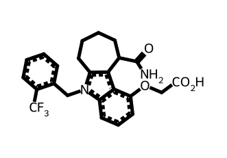 NC(=O)C1CCCCc2c1c1c(OCC(=O)O)cccc1n2Cc1ccccc1C(F)(F)F